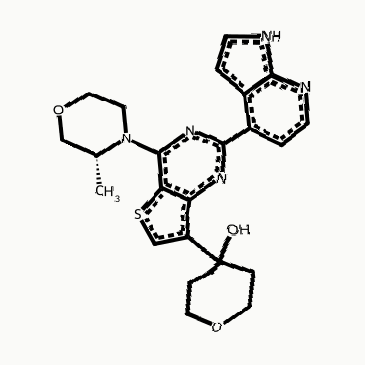 C[C@@H]1COCCN1c1nc(-c2ccnc3[nH]ccc23)nc2c(C3(O)CCOCC3)csc12